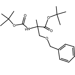 CC(C)(C)OC(=O)NC(C)(COCc1ccccc1)C(=O)OC(C)(C)C